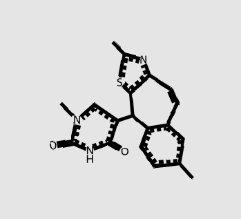 Cc1ccc2c(c1)C=Cc1nc(C)sc1C2c1cn(C)c(=O)[nH]c1=O